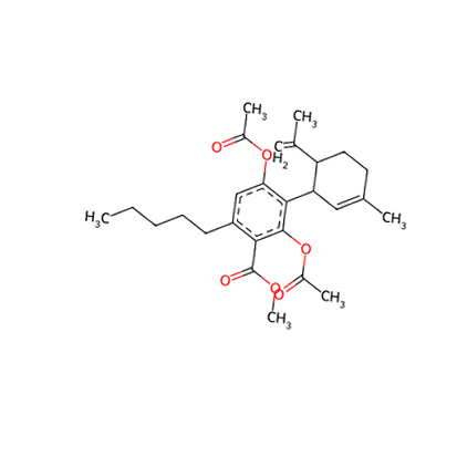 C=C(C)C1CCC(C)=CC1c1c(OC(C)=O)cc(CCCCC)c(C(=O)OC)c1OC(C)=O